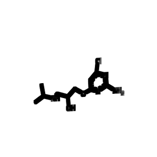 CC(C)NCC(O)COc1cc(Cl)nc(N)n1